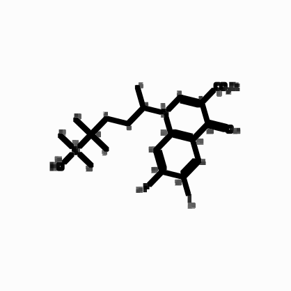 CCOC(=O)c1cn(C(C)CCC(C)(C)[Si](C)(C)O)c2cc(F)c(I)cc2c1=O